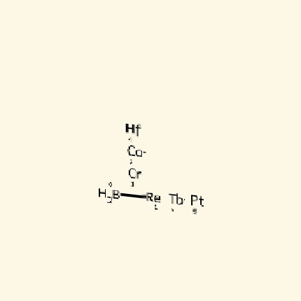 [BH2][Re].[Co].[Cr].[Hf].[Pt].[Tb]